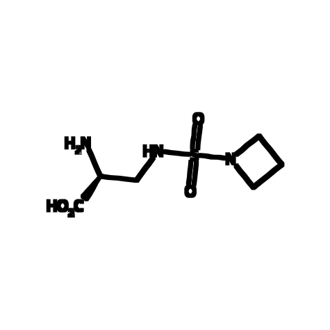 N[C@@H](CNS(=O)(=O)N1CCC1)C(=O)O